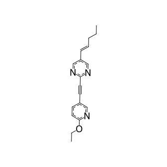 CCC/C=C/c1cnc(C#Cc2ccc(OCC)nc2)nc1